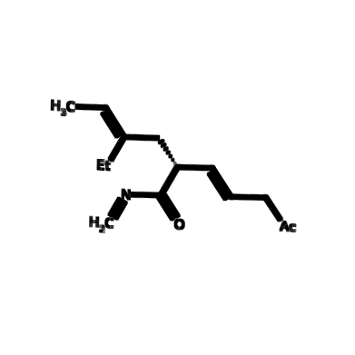 C=NC(=O)[C@@H](/C=C/CC(C)=O)C/C(=C/C)CC